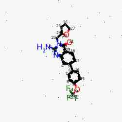 Nc1nc2cc(-c3ccc(OC(F)(F)F)cc3)ccc2c(=O)n1CC1CCCO1